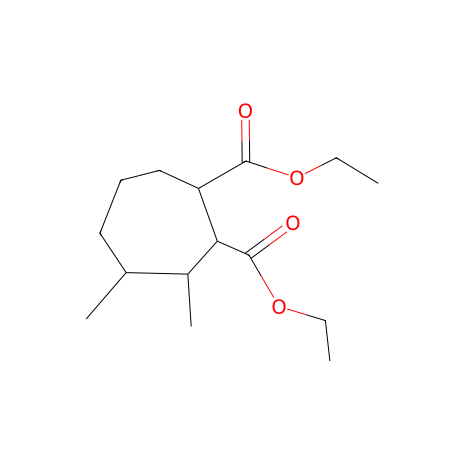 CCOC(=O)C1CCCC(C)C(C)C1C(=O)OCC